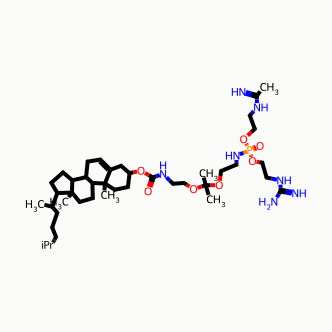 CC(=N)NCCOP(=O)(NCCOC(C)(C)OCCNC(=O)OC1CCC2(C)C(=CCC3C2CCC2(C)C(C(C)CCCC(C)C)CCC32)C1)OCCNC(=N)N